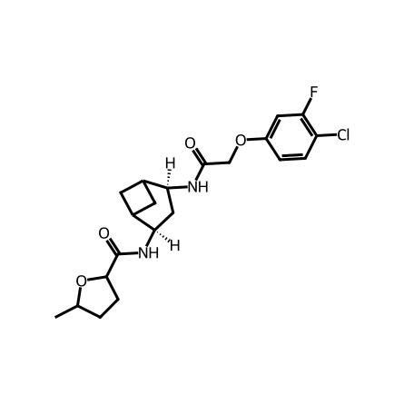 CC1CCC(C(=O)N[C@@H]2C[C@H](NC(=O)COc3ccc(Cl)c(F)c3)C3CC2C3)O1